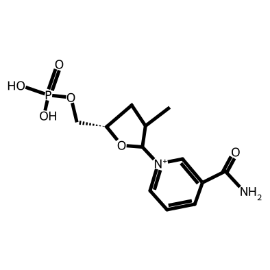 CC1C[C@@H](COP(=O)(O)O)OC1[n+]1cccc(C(N)=O)c1